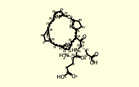 N[C@@H](CCC(=O)O)C(=O)N[C@@H](CCC(=O)O)C(=O)c1c2nc(cc3ccc(cc4nc(cc5ccc1[nH]5)CC4)[nH]3)CC2